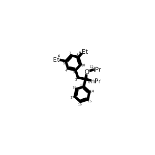 CCCC(Cc1cc(CC)cc(CC)c1)(OC(C)C)c1ccccc1